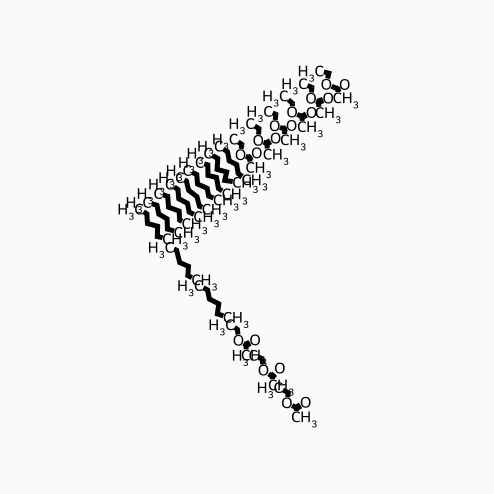 CCCCCC.CCCCCC.CCCCCC.CCCCCC.CCCCCC.CCCCCC.CCCCCC.CCCCCC.CCCCCC.CCCCCC.CCCCCC.CCOC(C)=O.CCOC(C)=O.CCOC(C)=O.CCOC(C)=O.CCOC(C)=O.CCOC(C)=O.CCOC(C)=O.CCOC(C)=O.CCOC(C)=O